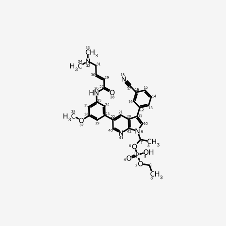 CCOP(=O)(O)OC(C)n1cc(-c2cccc(C#N)c2)c2cc(-c3cc(NC(=O)/C=C/CN(C)C)cc(OC)c3)cnc21